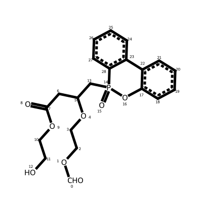 O=COCCOC(CC(=O)OCCO)CP1(=O)Oc2ccccc2-c2ccccc21